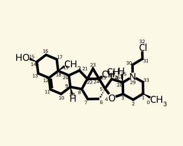 C[C@H]1CC2O[C@]3(CCC4[C@@H]5CC=C6C[C@@H](O)CC[C@]6(C)C5CC45CC53C)[C@H](C)[C@@H]2N(CCCl)C1